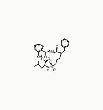 CC(C)CC(NS(=O)(=O)CCCN(Cc1ccccc1)C(=O)CNC(=O)c1ccccc1O)C(=O)O